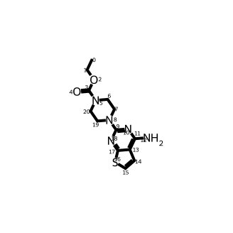 CCOC(=O)N1CCN(c2nc(N)c3ccsc3n2)CC1